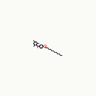 CCCCCCCCCCCCOc1ccc([I+]c2c(C)cc(C)cc2C)cc1